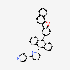 c1cc(-c2ccncc2)nc(-c2c3ccccc3c(-c3ccc4oc5c6ccccc6ccc5c4c3)c3ccccc23)c1